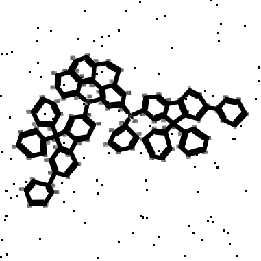 c1ccc(-c2ccc3c(c2)C(c2ccccc2)(c2ccccc2)c2cc(N(c4ccccc4)c4cc(N(c5ccccc5)c5ccc6c(c5)C(c5ccccc5)(c5ccccc5)c5cc(-c7ccccc7)ccc5-6)c5c(ccc6ccccc65)c4)ccc2-3)cc1